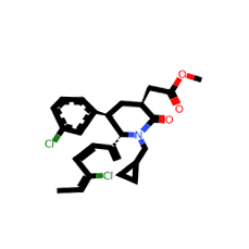 C=C(/C=C\C(Cl)=C/C)[C@@H]1[C@@H](c2cccc(Cl)c2)C[C@@H](CC(=O)OC)C(=O)N1CC1CC1